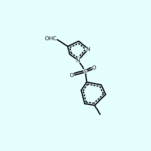 Cc1ccc(S(=O)(=O)n2cc(C=O)cn2)cc1